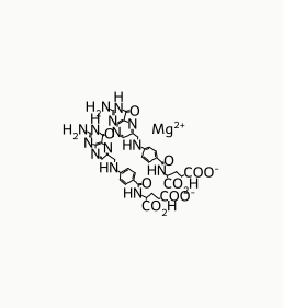 Nc1nc2ncc(CNc3ccc(C(=O)N[C@@H](CCC(=O)[O-])C(=O)O)cc3)nc2c(=O)[nH]1.Nc1nc2ncc(CNc3ccc(C(=O)N[C@@H](CCC(=O)[O-])C(=O)O)cc3)nc2c(=O)[nH]1.[Mg+2]